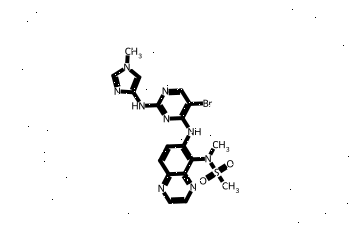 CN(c1c(Nc2nc(Nc3cn(C)cn3)ncc2Br)ccc2nccnc12)S(C)(=O)=O